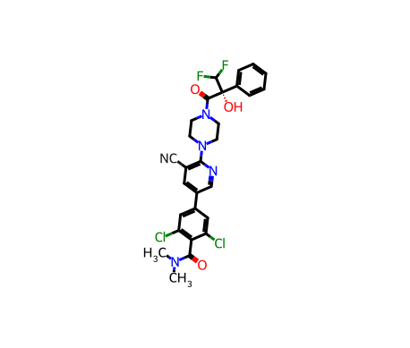 CN(C)C(=O)c1c(Cl)cc(-c2cnc(N3CCN(C(=O)[C@](O)(c4ccccc4)C(F)F)CC3)c(C#N)c2)cc1Cl